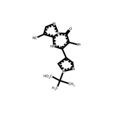 CC(C)c1c(-c2cnn(C(C)(C)C(=O)O)c2)[nH]c2c(C#N)cnn2c1=O